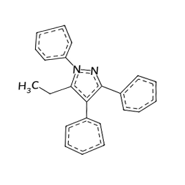 CCc1c(-c2ccccc2)c(-c2ccccc2)nn1-c1ccccc1